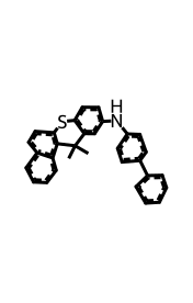 CC1(C)c2cc(Nc3ccc(-c4ccccc4)cc3)ccc2Sc2ccc3ccccc3c21